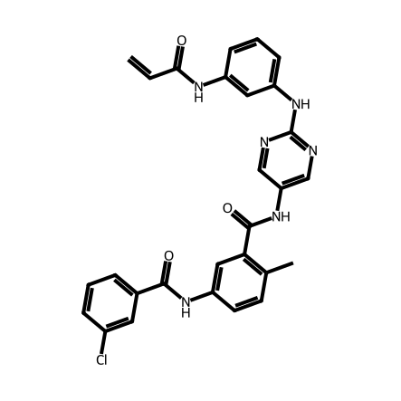 C=CC(=O)Nc1cccc(Nc2ncc(NC(=O)c3cc(NC(=O)c4cccc(Cl)c4)ccc3C)cn2)c1